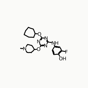 CN1CCC(Oc2nc(Nc3ccc(O)c(F)c3)nc(OC3CCCCCC3)n2)CC1